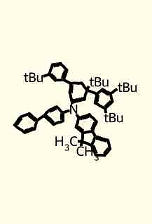 CC(C)(C)c1cccc(C2=CC(N(c3ccc(-c4ccccc4)cc3)c3ccc4c(c3)C(C)(C)c3ccccc3-4)=CC(c3cc(C(C)(C)C)cc(C(C)(C)C)c3)(C(C)(C)C)C2)c1